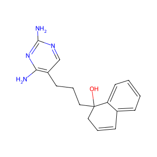 Nc1ncc(CCCC2(O)CC=Cc3ccccc32)c(N)n1